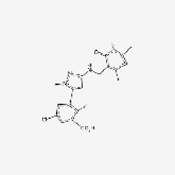 Cc1cc(C)c(CNc2cc(-c3cc(Cl)cc(C(=O)O)c3Cl)n(C)n2)c(=O)[nH]1